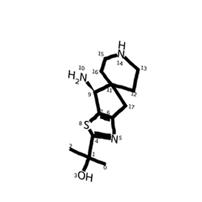 CC(C)(O)c1nc2c(s1)[C@@H](N)C1(CCNCC1)C2